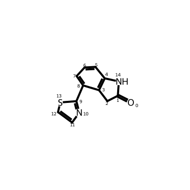 O=C1Cc2c(cccc2-c2nccs2)N1